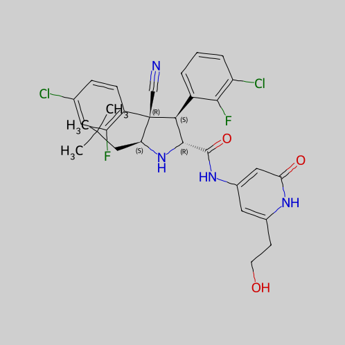 CC(C)(C)C[C@@H]1N[C@@H](C(=O)Nc2cc(CCO)[nH]c(=O)c2)[C@H](c2cccc(Cl)c2F)[C@@]1(C#N)c1ccc(Cl)cc1F